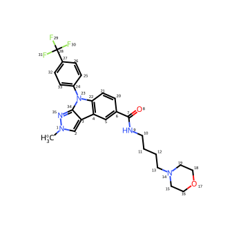 Cn1cc2c3cc(C(=O)NCCCCN4CCOCC4)ccc3n(-c3ccc(C(F)(F)F)cc3)c2n1